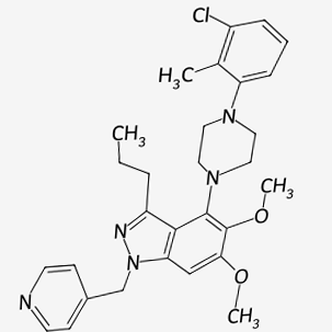 CCCc1nn(Cc2ccncc2)c2cc(OC)c(OC)c(N3CCN(c4cccc(Cl)c4C)CC3)c12